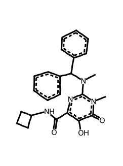 CN(c1nc(C(=O)NC2CCC2)c(O)c(=O)n1C)C(c1ccccc1)c1ccccc1